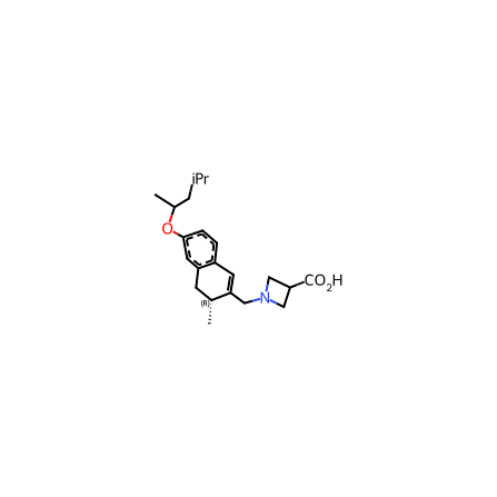 CC(C)CC(C)Oc1ccc2c(c1)C[C@@H](C)C(CN1CC(C(=O)O)C1)=C2